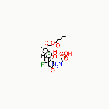 CCCCC(=O)OCC(=O)[C@H]1[C@H](C)C[C@H]2[C@@H]3C[C@H](F)C4=CC(=O)C=C[C@]4(C)[C@@]3(F)[C@@H](O)C[C@@]21C.NCCS(=O)(=O)O